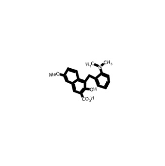 COc1ccc2c(Cc3ccccc3N(C)C)c(O)c(C(=O)O)cc2c1